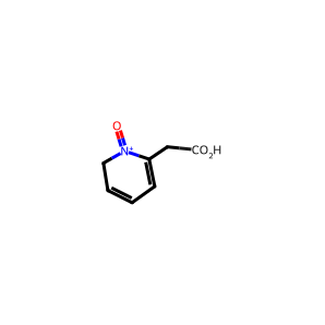 O=C(O)CC1=CC=CC[N+]1=O